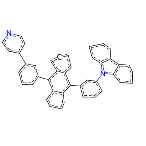 c1cc(-c2ccncc2)cc(-c2c3ccccc3c(-c3cccc(-n4c5ccccc5c5ccccc54)c3)c3ccccc23)c1